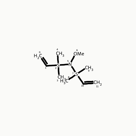 C=CS(C)(C)N(OC)S(C)(C)C=C